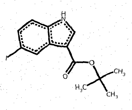 CC(C)(C)OC(=O)c1c[nH]c2ccc(I)cc12